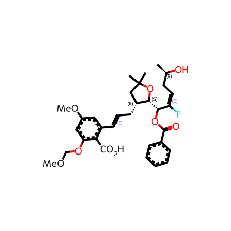 COCOc1cc(OC)cc(/C=C/C[C@@H]2CC(C)(C)O[C@@H]2C(OC(=O)c2ccccc2)/C(F)=C\C[C@@H](C)O)c1C(=O)O